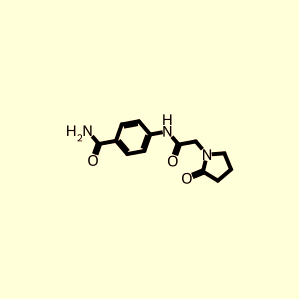 NC(=O)c1ccc(NC(=O)CN2CCCC2=O)cc1